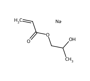 C=CC(=O)OCC(C)O.[Na]